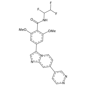 COc1cc(-c2cnc3cc(-c4ccnnc4)ccn23)cc(OC)c1C(=O)NC(F)C(F)F